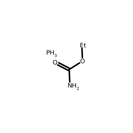 CCOC(N)=O.P